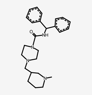 CN1CCCC(CN2CCN(C(=O)NC(c3ccccc3)c3ccccc3)CC2)C1